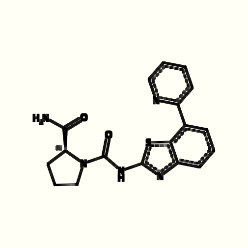 NC(=O)[C@@H]1CCCN1C(=O)Nc1nc2cccc(-c3ccccn3)c2s1